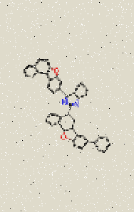 c1ccc(-c2ccc3c(c2)C2CC(c4nc(-c5ccc6c(c5)oc5ccc7ccccc7c56)c5ccccc5n4)c4ccccc4C2O3)cc1